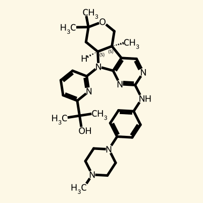 CN1CCN(c2ccc(Nc3ncc4c(n3)N(c3cccc(C(C)(C)O)n3)[C@H]3CC(C)(C)OC[C@@]43C)cc2)CC1